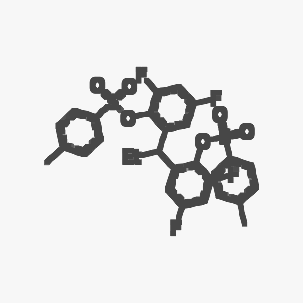 CCC(c1cc(F)cc(F)c1OS(=O)(=O)c1ccc(C)cc1)c1cc(F)cc(F)c1OS(=O)(=O)c1ccc(C)cc1